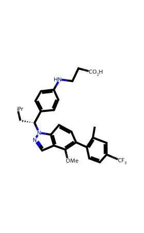 COc1c(-c2ccc(C(F)(F)F)cc2C)ccc2c1cnn2[C@H](CC(C)C)c1ccc(NCCC(=O)O)cc1